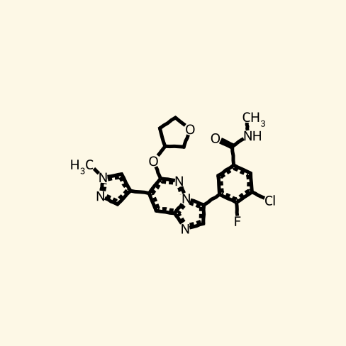 CNC(=O)c1cc(Cl)c(F)c(-c2cnc3cc(-c4cnn(C)c4)c(OC4CCOC4)nn23)c1